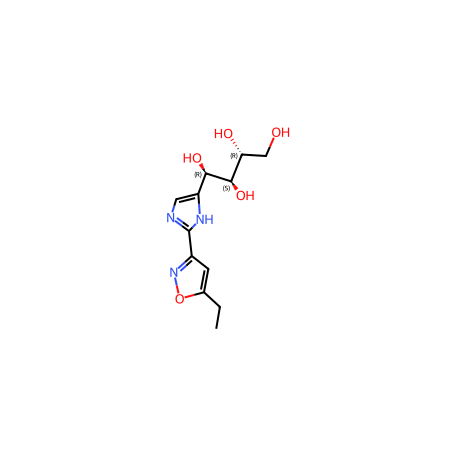 CCc1cc(-c2ncc([C@@H](O)[C@H](O)[C@H](O)CO)[nH]2)no1